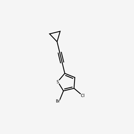 Clc1cc(C#CC2CC2)sc1Br